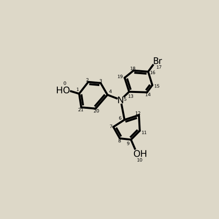 Oc1ccc(N(c2ccc(O)cc2)c2ccc(Br)cc2)cc1